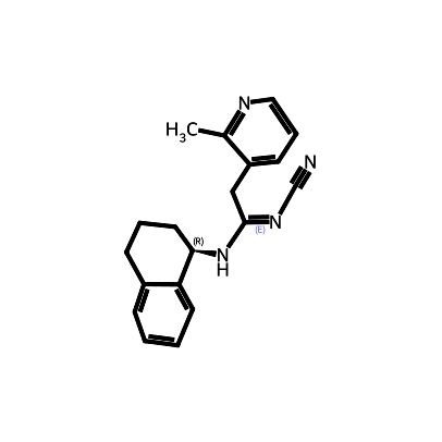 Cc1ncccc1C/C(=N\C#N)N[C@@H]1CCCc2ccccc21